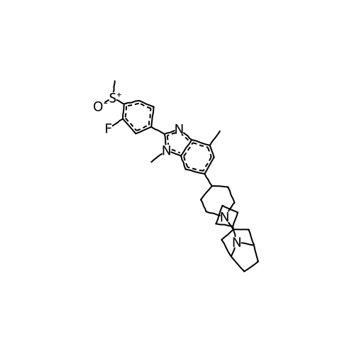 Cc1cc(C2CCN(C3CC4CCC(C3)N4C3CCC3)CC2)cc2c1nc(-c1ccc([S+](C)[O-])c(F)c1)n2C